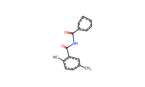 Cc1ccc(C#N)c(C(=O)NC(=O)c2ccccc2)c1